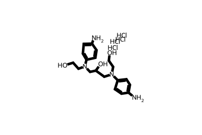 Cl.Cl.Cl.Cl.Nc1ccc(N(CCO)CC(O)CN(CCO)c2ccc(N)cc2)cc1